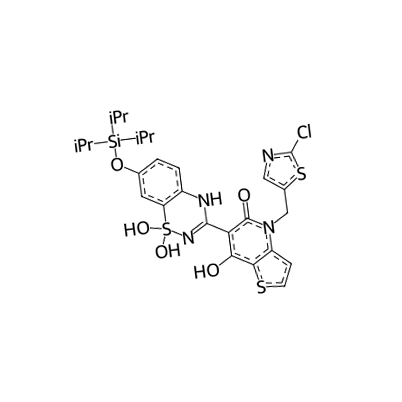 CC(C)[Si](Oc1ccc2c(c1)S(O)(O)N=C(c1c(O)c3sccc3n(Cc3cnc(Cl)s3)c1=O)N2)(C(C)C)C(C)C